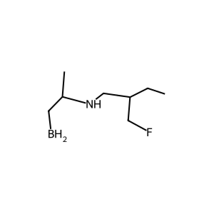 BCC(C)NCC(CC)CF